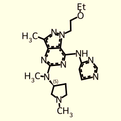 CCOCCn1nc(C)c2nc(N(C)[C@H]3CCN(C)C3)nc(Nc3ccncn3)c21